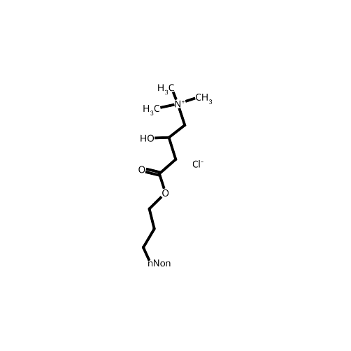 CCCCCCCCCCCCOC(=O)CC(O)C[N+](C)(C)C.[Cl-]